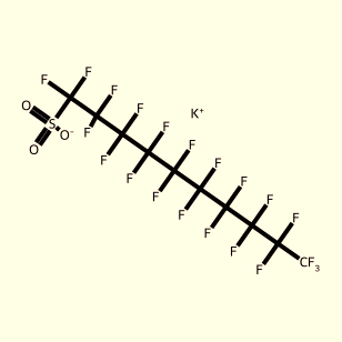 O=S(=O)([O-])C(F)(F)C(F)(F)C(F)(F)C(F)(F)C(F)(F)C(F)(F)C(F)(F)C(F)(F)C(F)(F)C(F)(F)F.[K+]